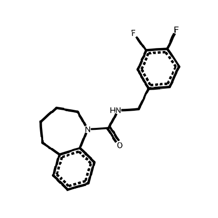 O=C(NCc1ccc(F)c(F)c1)N1CCCCc2ccccc21